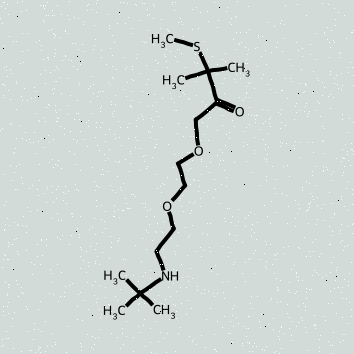 CSC(C)(C)C(=O)COCCOCCNC(C)(C)C